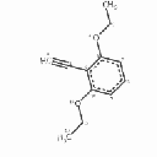 C#Cc1c(OCC)cccc1OCC